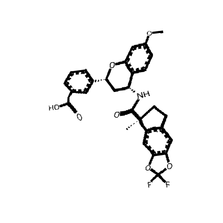 COc1ccc2c(c1)O[C@@H](c1cccc(C(=O)O)c1)C[C@H]2NC(=O)[C@@]1(C)CCc2cc3c(cc21)OC(F)(F)O3